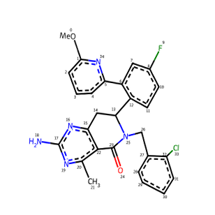 COc1cccc(-c2cc(F)ccc2C2Cc3nc(N)nc(C)c3C(=O)N2Cc2ccccc2Cl)n1